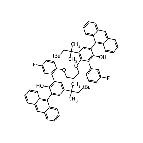 CC(C)(C)CC(C)(C)c1cc(-c2cc(F)ccc2OCCCOc2c(C(C)(C)CC(C)(C)C)cc(-c3c4ccccc4cc4ccccc34)c(O)c2-c2cccc(F)c2)c(O)c(-c2c3ccccc3cc3ccccc23)c1